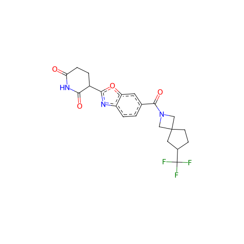 O=C1CCC(c2nc3ccc(C(=O)N4CC5(CCC(C(F)(F)F)C5)C4)cc3o2)C(=O)N1